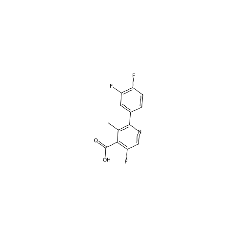 Cc1c(-c2ccc(F)c(F)c2)ncc(F)c1C(=O)O